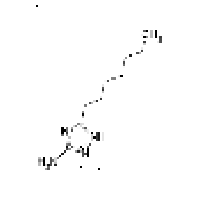 CCCCCCCc1nc(N)n[nH]1